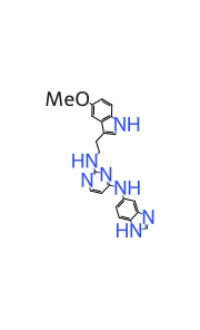 COc1ccc2[nH]cc(CCNc3nccc(Nc4ccc5[nH]cnc5c4)n3)c2c1